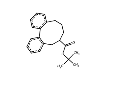 CC(C)(C)OC(=O)C1CCCc2ccccc2-c2ccccc2C1